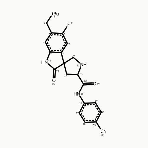 CC(C)(C)Cc1cc2c(cc1F)C1(CNC(C(=O)Nc3ccc(C#N)cc3)C1)C(=O)N2